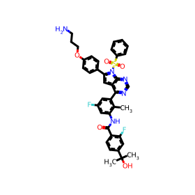 Cc1c(NC(=O)c2ccc(C(C)(C)O)cc2F)cc(F)cc1-c1ncnc2c1cc(-c1ccc(OCCCN)cc1)n2S(=O)(=O)c1ccccc1